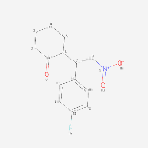 O=C1CCCCC1[C@H](C[N+](=O)[O-])c1ccc(F)cc1